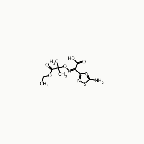 CCOC(=O)C(C)(C)ON=C(C(=O)O)c1nsc(N)n1